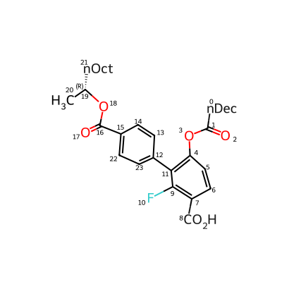 CCCCCCCCCCC(=O)Oc1ccc(C(=O)O)c(F)c1-c1ccc(C(=O)O[C@H](C)CCCCCCCC)cc1